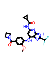 COc1cc(C(=O)N2CCC2)ccc1Nc1cc(NC(=O)C2CC2)nc2[nH]c(C(F)F)nc12